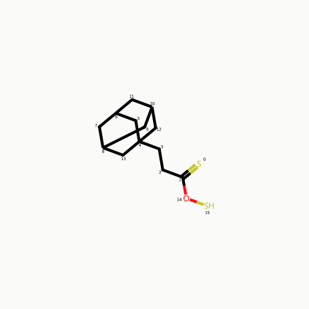 S=C(CCC12CC3CC(CC(C3)C1)C2)OS